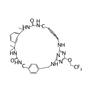 CC1(C)NC(=O)NCc2ccc(cc2)CNc2nc(nc(OCC(F)(F)F)n2)Nc2ccc(cc2)CNC(=O)NC(C)(C)c2cccc1c2